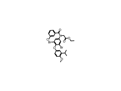 CCOC(=O)CN(C(=O)c1cccc(Cl)c1)c1cc(Br)c(Oc2ccc(OC)c(C(C)C)c2)c(Br)c1